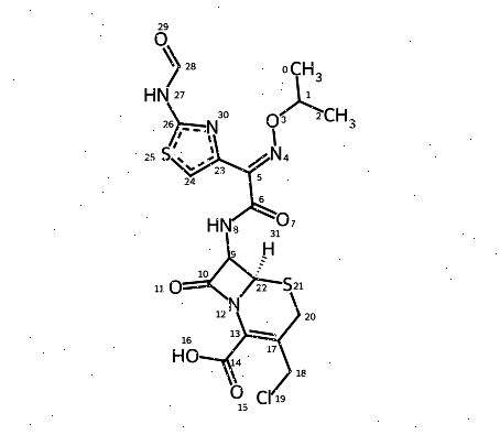 CC(C)O/N=C(/C(=O)NC1C(=O)N2C(C(=O)O)=C(CCl)CS[C@H]12)c1csc(NC=O)n1